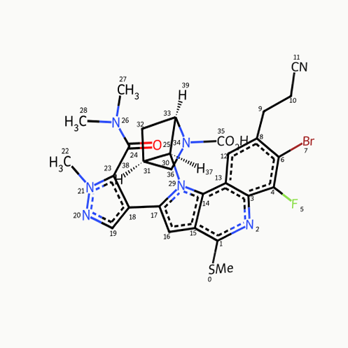 CSc1nc2c(F)c(Br)c(CCC#N)cc2c2c1cc(-c1cnn(C)c1C(=O)N(C)C)n2[C@H]1[C@@H]2C[C@H]1N(C(=O)O)C2